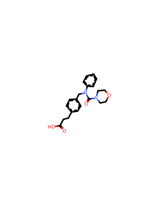 O=C(O)CCc1ccc(CN(C(=O)N2CCOCC2)c2ccccc2)cc1